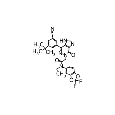 CCN(C(=O)Cn1nc(-c2cc(C#N)cc(C(C)(C)C)c2)c2[nH]cnc2c1=O)c1ccc2c(c1)OC(F)(F)O2